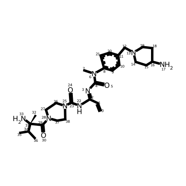 C=C/C(=N\C(=O)N(C)c1ccc(CN2CCC(N)CC2)cc1)NC(=O)N1CCN(C(=O)[C@@](C)(N)C(C)C)CC1